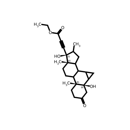 CCOC(=O)C#C[C@]1(O)C(C)CC2C3C4CC4[C@]4(O)CC(=O)CC[C@]4(C)C3CC[C@@]21C